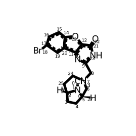 CN1[C@@H]2CC[C@H]1CN(Cc1nc3c(oc4ccc(Br)cc43)c(=O)[nH]1)CC2